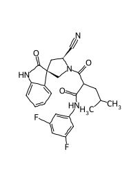 CC(C)CC(C(=O)Nc1cc(F)cc(F)c1)C(=O)N1C[C@]2(C[C@H]1C#N)C(=O)Nc1ccccc12